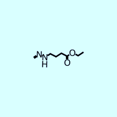 C=NNCCCC(=O)OCC